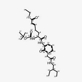 CCOC(=O)/C=C/CC[C@H](NC(=O)OC(C)(C)C)C(=O)Nc1cccn(CC(=O)NCC(CC)CC)c1=O